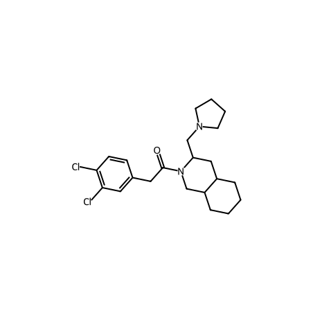 O=C(Cc1ccc(Cl)c(Cl)c1)N1CC2CCCCC2CC1CN1CCCC1